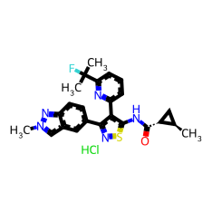 C[C@@H]1C[C@H]1C(=O)Nc1snc(-c2ccc3nn(C)cc3c2)c1-c1cccc(C(C)(C)F)n1.Cl